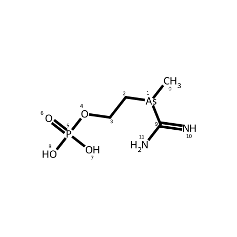 C[As](CCOP(=O)(O)O)C(=N)N